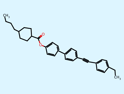 CCCCC1CCC(C(=O)Oc2ccc(-c3ccc(C#Cc4ccc(CC)cc4)cc3)cc2)CC1